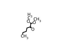 CCCCC(=O)C(OC)OC